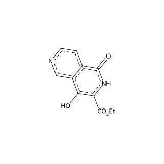 CCOC(=O)c1[nH]c(=O)c2ccncc2c1O